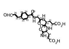 NC(=O)[C@H](CCC(=O)O)NC(=O)[C@H](CCC(=O)O)NC(=O)CNC(=O)c1ccc(C=CC=O)cc1